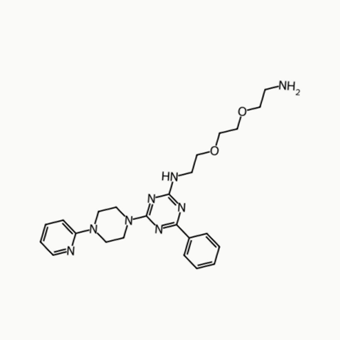 NCCOCCOCCNc1nc(-c2ccccc2)nc(N2CCN(c3ccccn3)CC2)n1